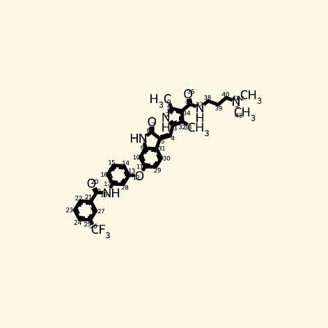 Cc1[nH]c(/C=C2\C(=O)Nc3cc(Oc4cccc(NC(=O)c5cccc(C(F)(F)F)c5)c4)ccc32)c(C)c1C(=O)NCCCN(C)C